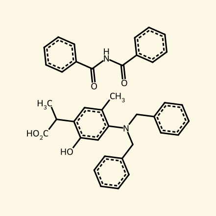 Cc1cc(C(C)C(=O)O)c(O)cc1N(Cc1ccccc1)Cc1ccccc1.O=C(NC(=O)c1ccccc1)c1ccccc1